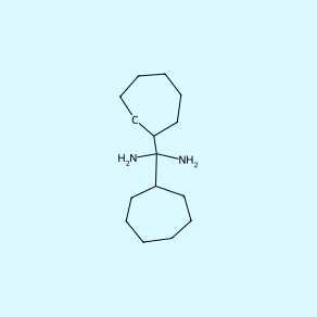 NC(N)(C1CCCCCC1)C1CCCCCC1